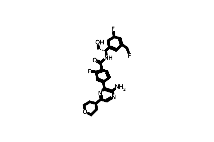 Nc1ncc(C2CCOCC2)nc1-c1ccc(C(=O)N[C@H](CO)C2=CC(CF)=CC(F)C2)c(F)c1